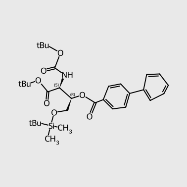 CC(C)(C)OC(=O)N[C@H](C(=O)OC(C)(C)C)[C@H](CO[Si](C)(C)C(C)(C)C)OC(=O)c1ccc(-c2ccccc2)cc1